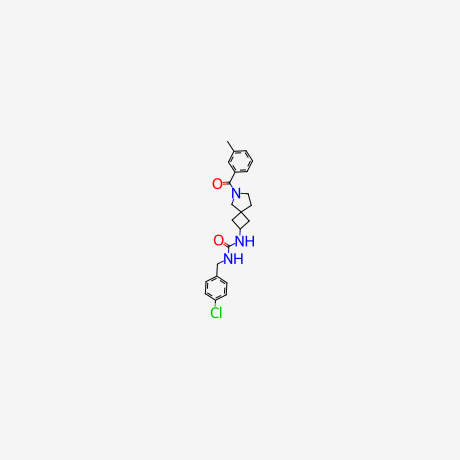 Cc1cccc(C(=O)N2CCC3(CC(NC(=O)NCc4ccc(Cl)cc4)C3)C2)c1